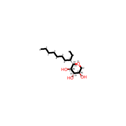 CCCCCCCC(CC)[C@@H]1OC[C@@H](O)[C@H](O)[C@H]1O